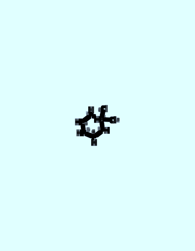 Cl[PH]1(Cl)PPPPP1